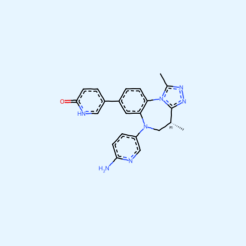 Cc1nnc2n1-c1ccc(-c3ccc(=O)[nH]c3)cc1N(c1ccc(N)nc1)C[C@H]2C